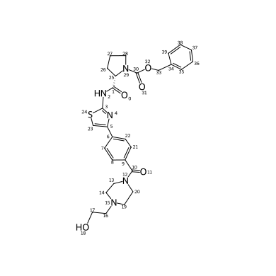 O=C(Nc1nc(-c2ccc(C(=O)N3CCN(CCO)CC3)cc2)cs1)[C@@H]1CCCN1C(=O)OCc1ccccc1